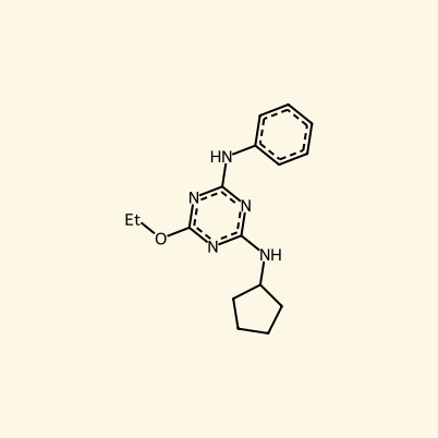 CCOc1nc(Nc2ccccc2)nc(NC2CCCC2)n1